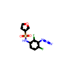 [N-]=[N+]=Nc1c(F)ccc(NS(=O)(=O)c2ccoc2)c1F